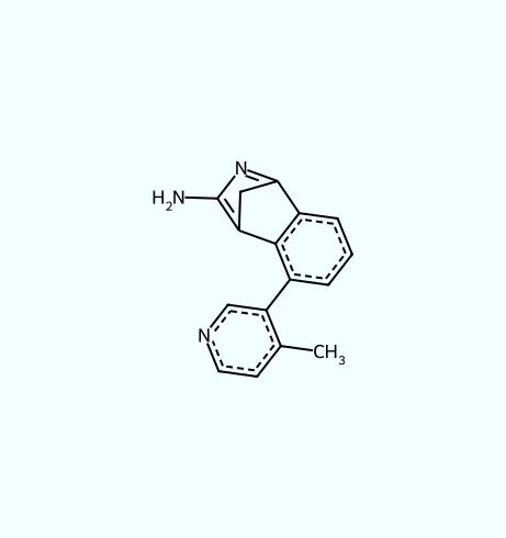 Cc1ccncc1-c1cccc2c1C1=C(N)N=C2C1